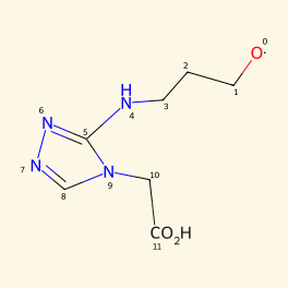 [O]CCCNc1nncn1CC(=O)O